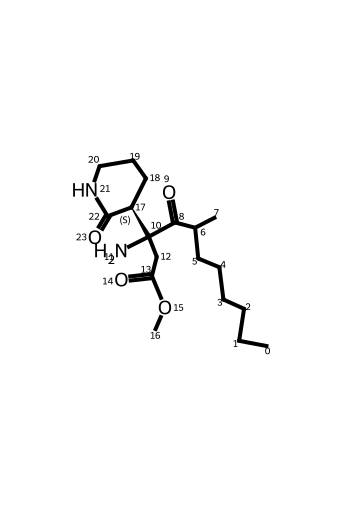 CCCCCCC(C)C(=O)C(N)(CC(=O)OC)[C@@H]1CCCNC1=O